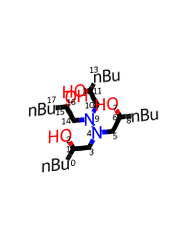 CCCCC(O)CN(CC(O)CCCC)N(CC(O)CCCC)CC(O)CCCC